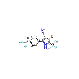 N#Cc1c(-c2ccc(C(F)(F)F)cc2)[nH]c(C(F)(F)F)c1Br